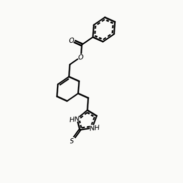 O=C(OCC1=CCCC(Cc2c[nH]c(=S)[nH]2)C1)c1ccccc1